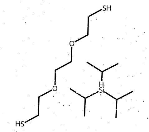 CC(C)[SiH](C(C)C)C(C)C.SCCOCCOCCS